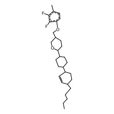 CCCCCC1C=CC(C2CCC(C3CCC(COc4ccc(C)c(F)c4F)CO3)CC2)CC1